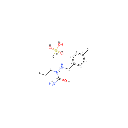 CCCN(NCc1ccc(C)cc1)C(N)=O.CS(=O)(=O)O